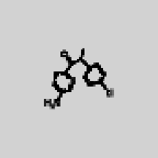 CC(C(=O)c1ccc(N)cn1)c1ccc(Cl)cc1